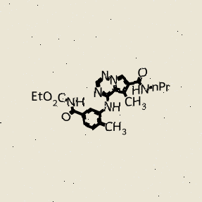 CCCNC(=O)c1cn2ncnc(Nc3cc(C(=O)NC(=O)OCC)ccc3C)c2c1C